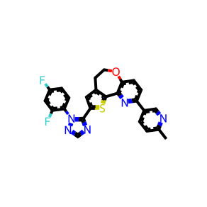 Cc1ccc(-c2ccc3c(n2)-c2sc(-c4ncnn4-c4ccc(F)cc4F)cc2CCO3)cn1